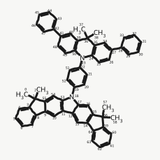 CC1(C)c2ccccc2-c2cc3c4cc5c(cc4n(-c4ccc(N6c7ccc(-c8ccccc8)cc7C(C)(C)c7cc(-c8ccccc8)ccc76)cc4)c3cc21)C(C)(C)c1ccccc1-5